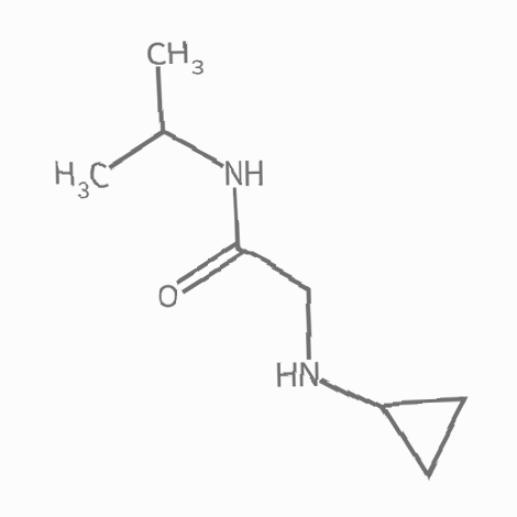 CC(C)NC(=O)CNC1CC1